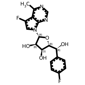 Cc1ncnc2c1c(F)cn2[C@@H]1O[C@H]([C@H](O)c2ccc(F)cc2)[C@@H](O)[C@H]1O